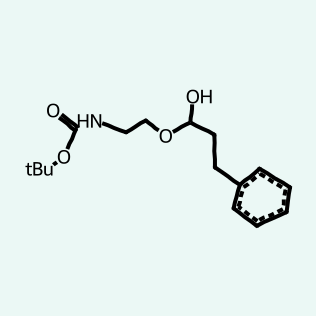 CC(C)(C)OC(=O)NCCOC(O)CCc1ccccc1